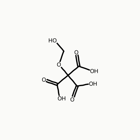 O=C(O)C(OCO)(C(=O)O)C(=O)O